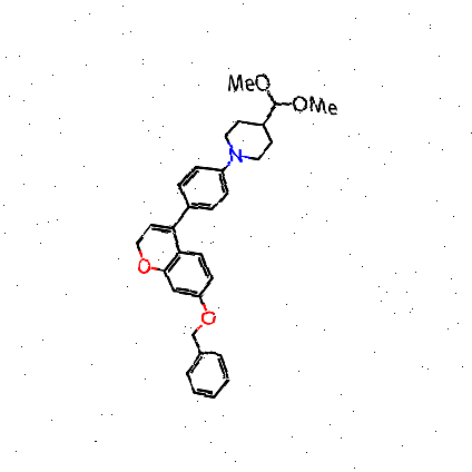 COC(OC)C1CCN(c2ccc(C3=CCOc4cc(OCc5ccccc5)ccc43)cc2)CC1